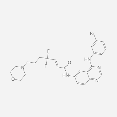 O=C(C=CC(F)(F)CCCN1CCOCC1)Nc1ccc2ncnc(Nc3cccc(Br)c3)c2c1